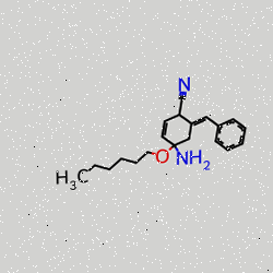 CCCCCCOC1(N)C=CC(C#N)C(=Cc2ccccc2)C1